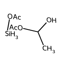 CC(=O)OC(C)O.CC(=O)O[SiH3]